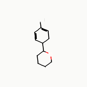 CC1=CCC(C2CCCCO2)C=C1